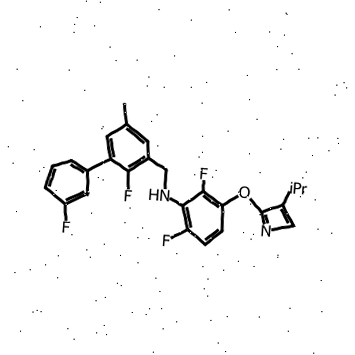 Cc1cc(CNc2c(F)ccc(OC3=NC=C3C(C)C)c2F)c(F)c(-c2cccc(F)c2)c1